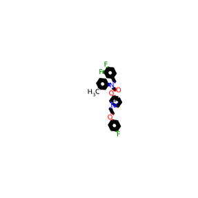 Cc1cccc(N(Cc2ccc(F)c(F)c2)C(=O)OC2C[N+]3(CCOc4ccc(F)cc4)CCC2CC3)c1